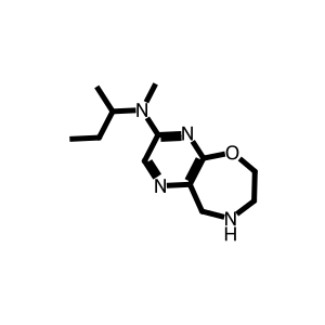 CCC(C)N(C)c1cnc2c(n1)OCCNC2